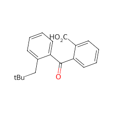 CC(C)(C)Cc1ccccc1C(=O)c1ccccc1C(=O)O